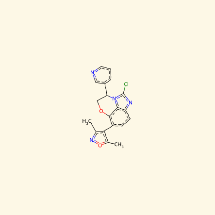 Cc1noc(C)c1-c1ccc2nc(Cl)n3c2c1OCC3c1cccnc1